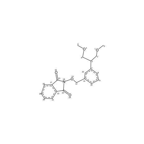 COCC(COC)c1cccc(CON2C(=O)c3ccccc3C2=O)c1